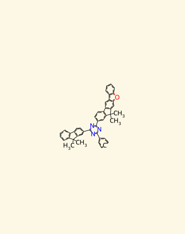 CC1(C)c2ccccc2-c2ccc(-c3nc(-c4ccccc4)nc(-c4ccc5c(c4)C(C)(C)c4cc6oc7ccccc7c6cc4-5)n3)cc21